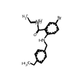 CCNC(=O)c1cc(Br)ccc1NCc1ccc(CC)cc1